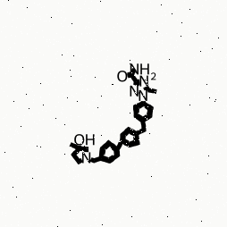 Cc1nc(C(N)=O)nn1-c1ccc(Cc2ccc(-c3ccc(CN4CCC(C)(O)C4)cc3)cc2)cc1